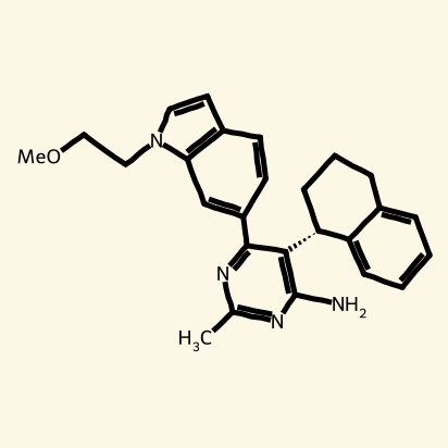 COCCn1ccc2ccc(-c3nc(C)nc(N)c3[C@@H]3CCCc4ccccc43)cc21